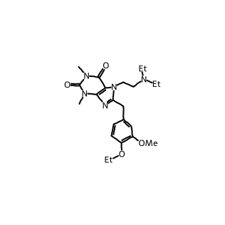 CCOc1ccc(Cc2nc3c(c(=O)n(C)c(=O)n3C)n2CCN(CC)CC)cc1OC